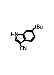 CC(C)(C)c1ccc2c(C#N)c[nH]c2c1